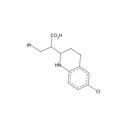 CC(C)CC(C(=O)O)C1CCc2cc(Cl)ccc2N1